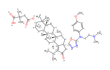 COc1ccc(N(CCN(C)C)c2nnc([C@@]34CC[C@]5(C)[C@H](CC[C@@H]6[C@@]7(C)CC[C@H](OC(=O)CC(C)(C)C(=O)O)C(C)(C)[C@@H]7CC[C@]65C)C3=C(C(C)C)C(=O)C4)o2)cc1